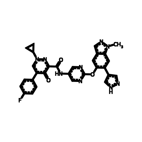 Cn1ncc2cc(Oc3ncc(NC(=O)c4nn(C5CC5)cc(-c5ccc(F)cc5)c4=O)cn3)c(-c3cn[nH]c3)cc21